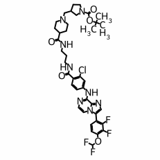 CC(C)(C)OC(=O)N1CCC(CN2CCC(C(=O)NCCCNC(=O)c3ccc(Nc4nccn5c(-c6ccc(OC(F)F)c(F)c6F)cnc45)cc3Cl)CC2)C1